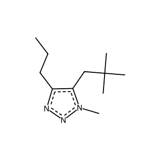 CCCc1nnn(C)c1CC(C)(C)C